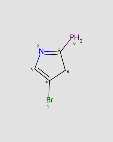 PC1=NC=C(Br)C1